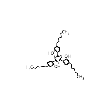 CCCCCCc1ccc(-c2nc(-c3ccc(CCCCCC)cc3O)nc(-c3ccc(CCCCCC)cc3O)n2)c(O)c1